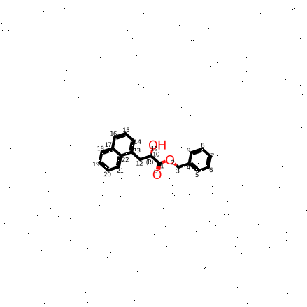 O=C(OCc1ccccc1)[C@H](O)Cc1cccc2ccccc12